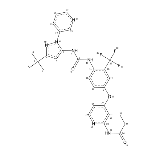 CC(C)(C)c1cc(NC(=O)Nc2ccc(Oc3ccnc4c3CCC(=O)N4)cc2C(F)(F)F)n(-c2cccnc2)n1